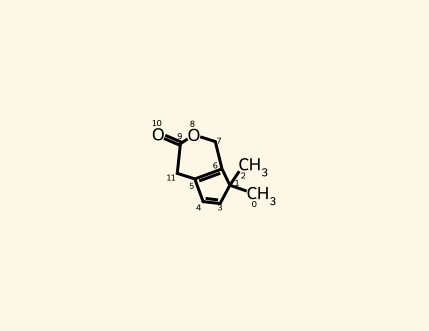 CC1(C)C=CC2=C1COC(=O)C2